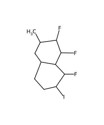 CC1CC2CCC(I)C(F)C2C(F)C1F